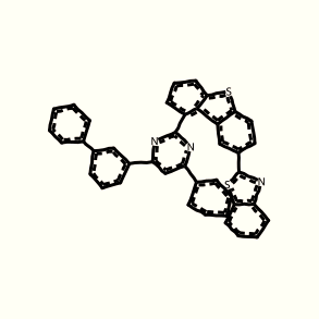 c1ccc(-c2cccc(-c3cc(-c4ccccc4)nc(-c4cccc5sc6ccc(-c7nc8ccccc8s7)cc6c45)n3)c2)cc1